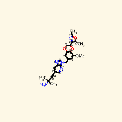 COc1cc(Cn2cnc3cc(C#CC(C)(C)N)cnc32)cc2c1OC(c1nc(C)oc1C)CO2